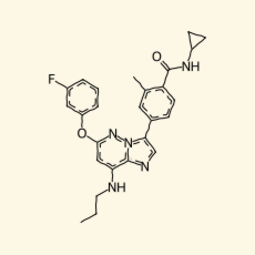 CCCNc1cc(Oc2cccc(F)c2)nn2c(-c3ccc(C(=O)NC4CC4)c(C)c3)cnc12